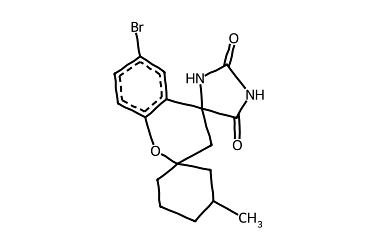 CC1CCCC2(C1)CC1(NC(=O)NC1=O)c1cc(Br)ccc1O2